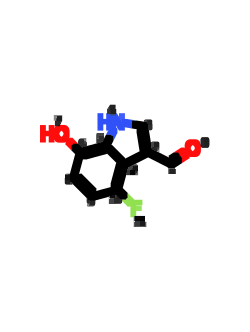 O=Cc1c[nH]c2c(O)ccc(F)c12